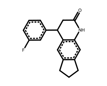 O=C1CC(c2cccc(F)c2)c2cc3c(cc2N1)CCC3